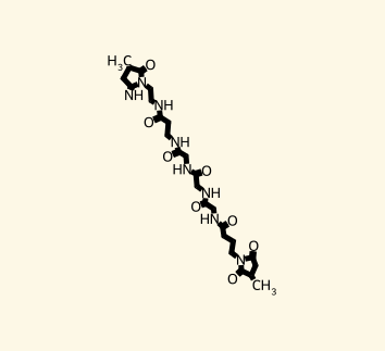 CC1CC(=N)N(CCNC(=O)CCNC(=O)CNC(=O)CNC(=O)CNC(=O)CCCN2C(=O)CC(C)C2=O)C1=O